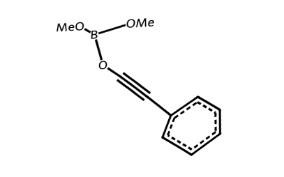 COB(OC)OC#Cc1ccccc1